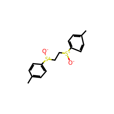 Cc1ccc([S+]([O-])CC[S@@+]([O-])c2ccc(C)cc2)cc1